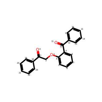 O=C(COc1ccccc1C(=O)c1[c]cccc1)c1ccccc1